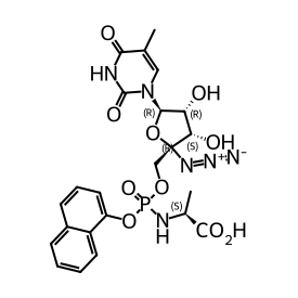 Cc1cn([C@@H]2O[C@@](COP(=O)(N[C@@H](C)C(=O)O)Oc3cccc4ccccc34)(N=[N+]=[N-])[C@@H](O)[C@H]2O)c(=O)[nH]c1=O